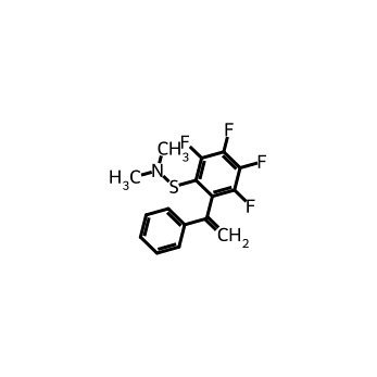 C=C(c1ccccc1)c1c(F)c(F)c(F)c(F)c1SN(C)C